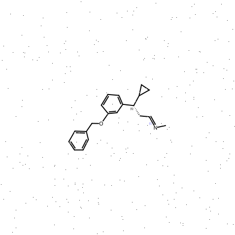 C/N=C/C[C@H](c1cccc(OCc2ccccc2)c1)C1CC1